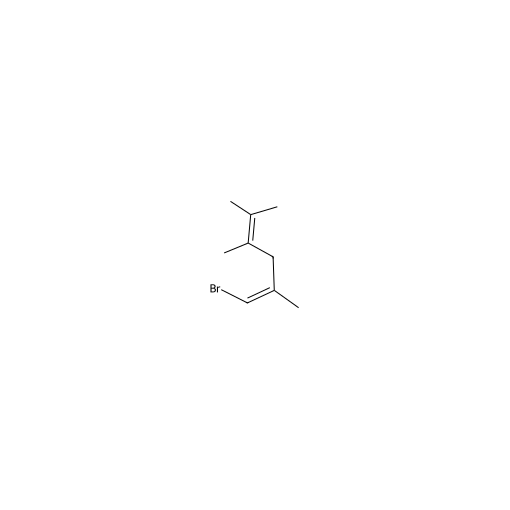 CC(=CBr)CC(C)=C(C)C